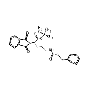 CC(C)(C)OC(=O)[C@H](CCCNC(=O)OCc1ccccc1)N1C(=O)c2ccccc2C1=O